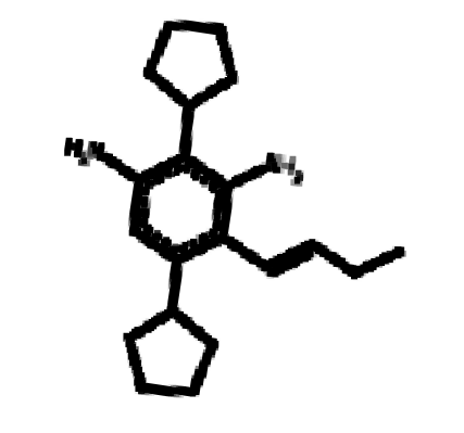 CCC=Cc1c(C2CCCC2)cc(N)c(C2CCCC2)c1N